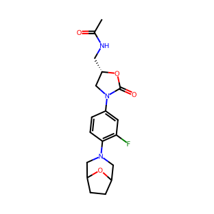 CC(=O)NC[C@H]1CN(c2ccc(N3CC4CCC(C3)O4)c(F)c2)C(=O)O1